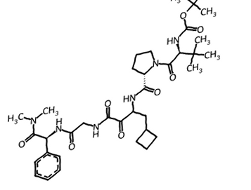 CN(C)C(=O)[C@@H](NC(=O)CNC(=O)C(=O)C(CC1CCC1)NC(=O)[C@@H]1CCCN1C(=O)[C@@H](NC(=O)OC(C)(C)C)C(C)(C)C)c1ccccc1